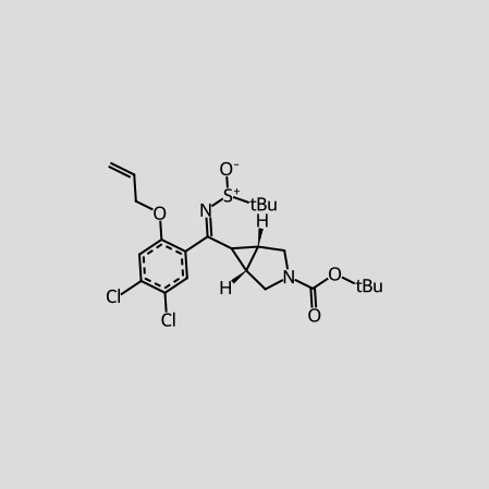 C=CCOc1cc(Cl)c(Cl)cc1C(=N[S+]([O-])C(C)(C)C)C1[C@H]2CN(C(=O)OC(C)(C)C)C[C@@H]12